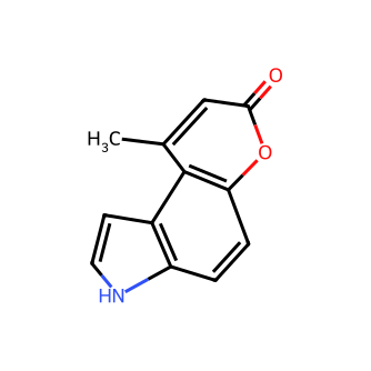 Cc1cc(=O)oc2ccc3[nH]ccc3c12